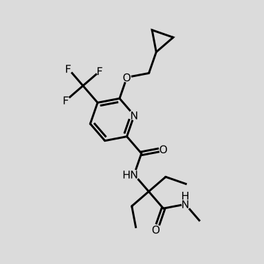 CCC(CC)(NC(=O)c1ccc(C(F)(F)F)c(OCC2CC2)n1)C(=O)NC